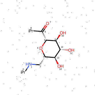 CC(C)NC[C@@H]1O[C@H](C(=O)C(C)C)[C@@H](O)[C@H](O)[C@H]1O